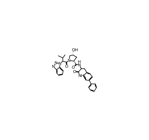 CC(C)C(C(=O)N1C[C@H](O)C[C@H]1C(=O)NC(Cc1ccc(-c2ccccc2)cc1)C(N)=O)n1nnc2ccccc21